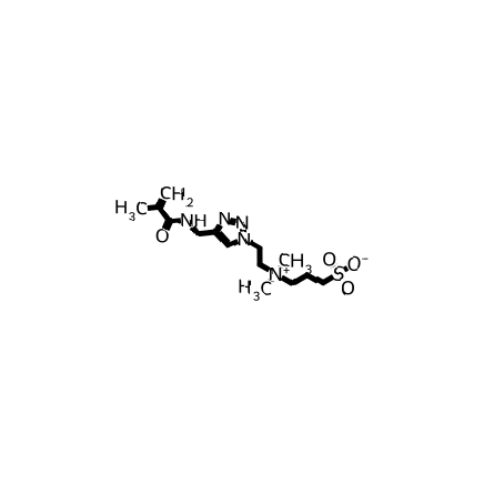 C=C(C)C(=O)NCc1cn(CC[N+](C)(C)CCCS(=O)(=O)[O-])nn1